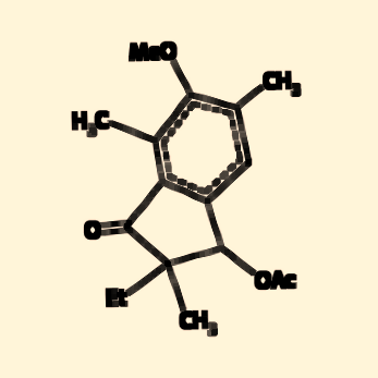 CCC1(C)C(=O)c2c(cc(C)c(OC)c2C)C1OC(C)=O